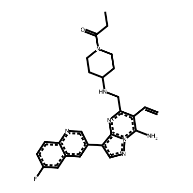 C=Cc1c(CNC2CCN(C(=O)CC)CC2)nc2c(-c3cnc4ccc(F)cc4c3)cnn2c1N